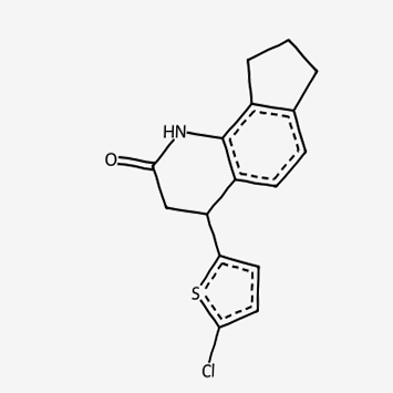 O=C1CC(c2ccc(Cl)s2)c2ccc3c(c2N1)CCC3